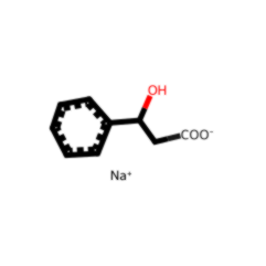 O=C([O-])CC(O)c1ccccc1.[Na+]